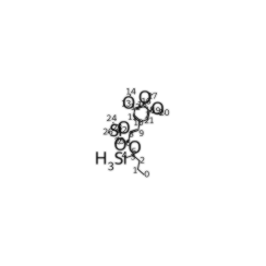 CCCC([SiH3])OC(=O)C(=Cc1cc(OC)c(OC)c(OC)c1)O[Si](C)(C)C